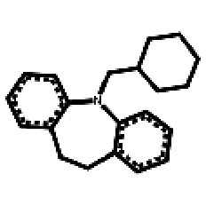 c1ccc2c(c1)CCc1ccccc1N2CC1CCCCC1